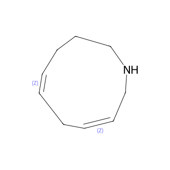 C1=C\CCCNC/C=C\C/1